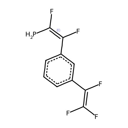 FC(F)=C(F)c1cccc(/C(F)=C(/F)P)c1